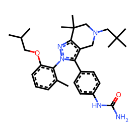 Cc1cccc(OCC(C)C)c1-n1nc2c(c1-c1ccc(NC(N)=O)cc1)CN(CC(C)(C)C)CC2(C)C